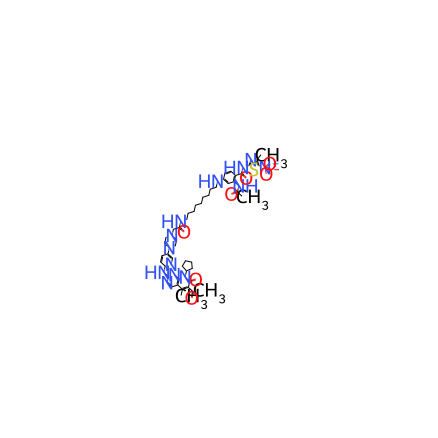 CC(=O)Nc1cc(NCCCCCCCCCNC(=O)CN2CCN(c3ccc(Nc4ncc5c(C)c(C(C)=O)c(=O)n(C6CCCC6)c5n4)nc3)CC2)ccc1C(=O)Nc1nc(C)c([N+](=O)[O-])s1